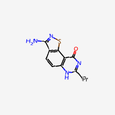 CC(C)c1nc(=O)c2c(ccc3c(N)nsc32)[nH]1